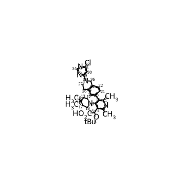 Cc1nc(C)c(C(OC(C)(C)C)C(=O)O)c(N2CCC(C)(C)CC2)c1-c1ccc2c(c1)CCN(c1cc(Cl)ncn1)C2